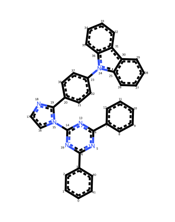 c1ccc(-c2nc(-c3ccccc3)nc(-n3ccnc3-c3ccc(-n4c5ccccc5c5ccccc54)cc3)n2)cc1